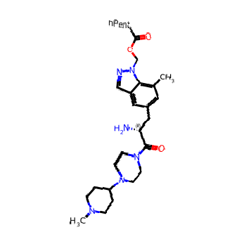 CCCCCC(=O)OCn1ncc2cc(C[C@@H](N)C(=O)N3CCN(C4CCN(C)CC4)CC3)cc(C)c21